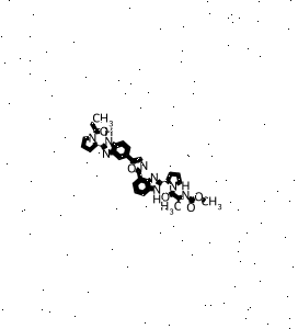 CCC(=O)N1CCC[C@H]1c1nc2cc(-c3cnc(-c4cccc5[nH]c([C@@H]6CCCN6C(=O)[C@H](C)NC(=O)OC)nc45)o3)ccc2[nH]1